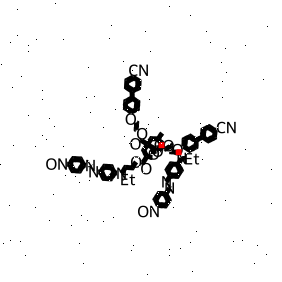 CCN(CCOC(=O)C(C)CC(CC(C)C(=O)OCCN(CC)c1ccc(/N=N/c2ccc(N=O)cc2)cc1)(C(=O)OCCOc1ccc(-c2ccc(C#N)cc2)cc1)C(=O)OCCOc1ccc(-c2ccc(C#N)cc2)cc1)c1ccc(/N=N/c2ccc(N=O)cc2)cc1